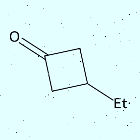 C[CH]C1CC(=O)C1